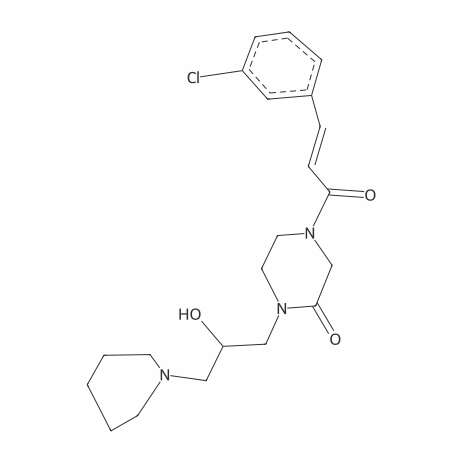 O=C(C=Cc1cccc(Cl)c1)N1CCN(CC(O)CN2CCCCC2)C(=O)C1